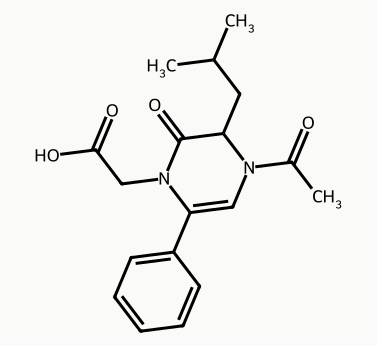 CC(=O)N1C=C(c2ccccc2)N(CC(=O)O)C(=O)C1CC(C)C